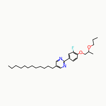 CCCCCCCCCCCCc1cnc(-c2ccc(OCC(C)OCCC)c(F)c2)nc1